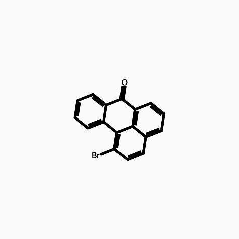 O=C1c2ccccc2-c2c(Br)ccc3cccc1c23